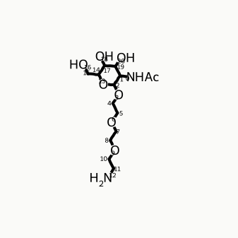 CC(=O)NC1C(OCCOCCOCCN)OC(CO)C(O)C1O